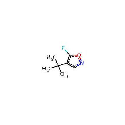 CC(C)(C)c1cnoc1F